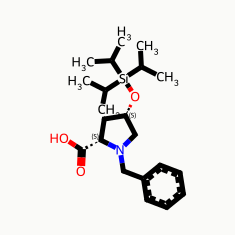 CC(C)[Si](O[C@H]1C[C@@H](C(=O)O)N(Cc2ccccc2)C1)(C(C)C)C(C)C